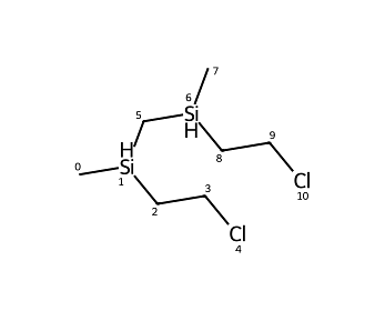 C[SiH](CCCl)C[SiH](C)CCCl